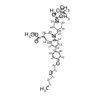 CCCCOCCOc1ccc(-c2ccc3c(c2)C=C(C(=O)OC)CCN3CC2CCN(C(=O)OC(C)(C)C)CC2)cc1